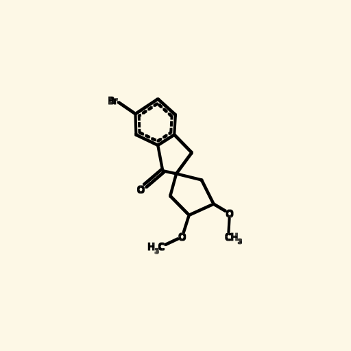 COC1CC2(Cc3ccc(Br)cc3C2=O)CC1OC